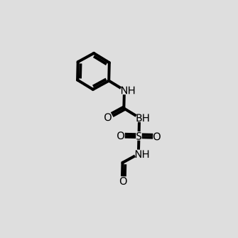 O=CNS(=O)(=O)BC(=O)Nc1ccccc1